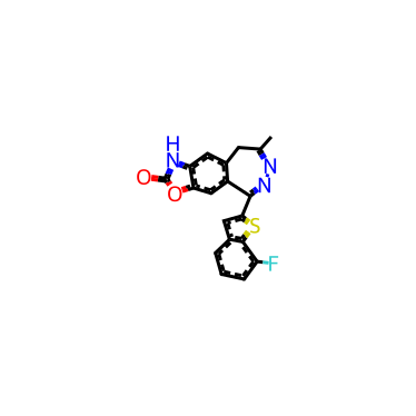 CC1=NN=C(c2cc3cccc(F)c3s2)c2cc3oc(=O)[nH]c3cc2C1